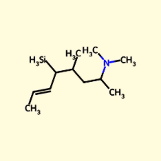 CC=CC([SiH3])C(C)CC(C)N(C)C